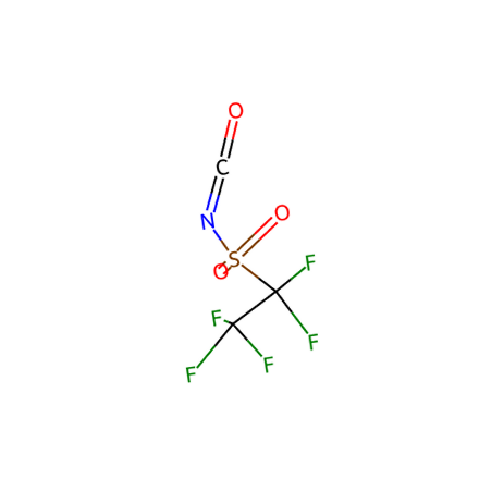 O=C=NS(=O)(=O)C(F)(F)C(F)(F)F